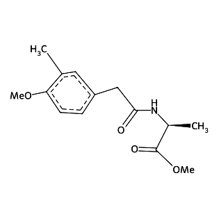 COC(=O)[C@H](C)NC(=O)Cc1ccc(OC)c(C)c1